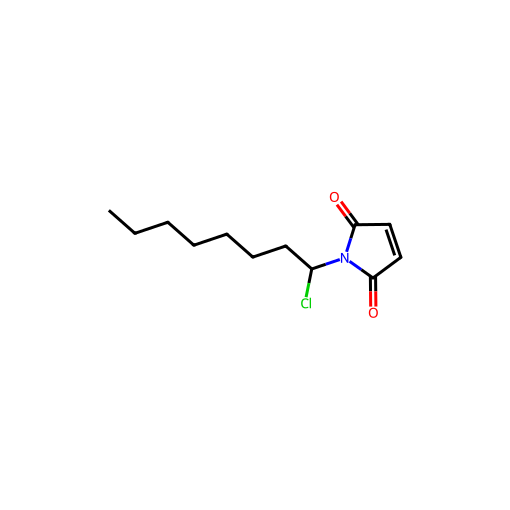 CCCCCCCC(Cl)N1C(=O)C=CC1=O